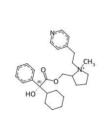 C[N+]1(CCc2ccncc2)CCCC1COC(=O)[C@](O)(c1ccccc1)C1CCCCC1